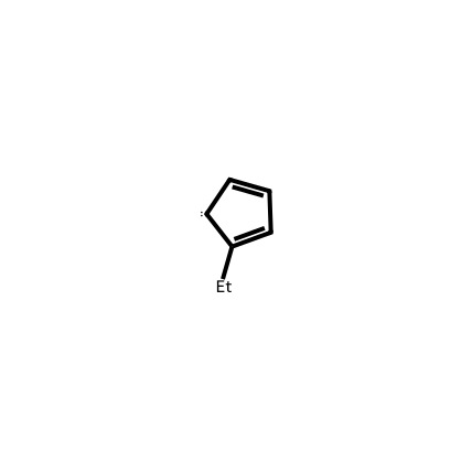 CCC1=CC=C[C]1